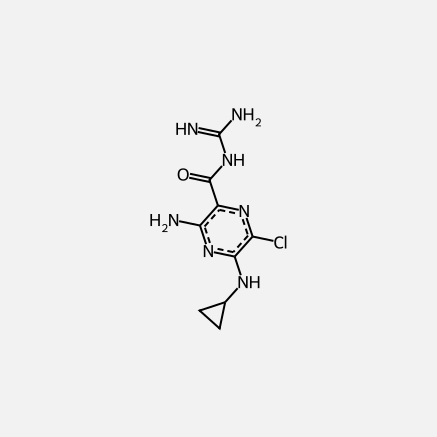 N=C(N)NC(=O)c1nc(Cl)c(NC2CC2)nc1N